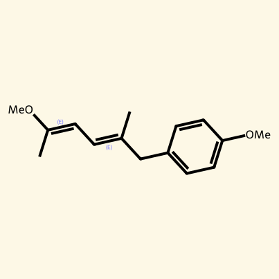 CO/C(C)=C/C=C(\C)Cc1ccc(OC)cc1